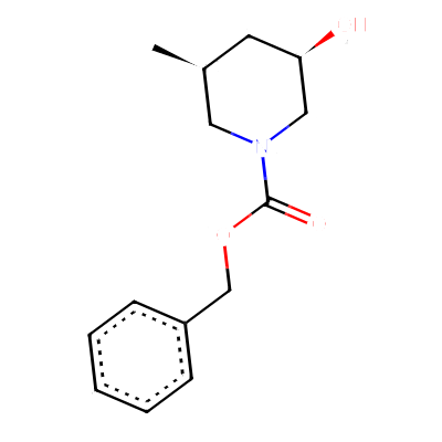 C[C@H]1C[C@@H](O)CN(C(=O)OCc2ccccc2)C1